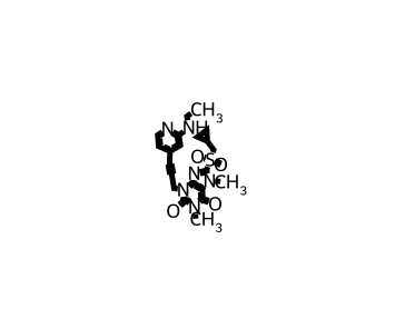 CCNc1cc(C#CCn2c(=O)n(C)c(=O)c3c2nc(S(=O)(=O)CC2CC2)n3C)ccn1